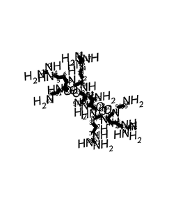 N=C(N)NCCCC(NC(=O)[C@H](CCCNC(=N)N)NC(=O)c1nc(N)c(C(=O)N[C@@H](CCCNC(=N)N)C(=O)NC(CCCNC(=N)N)C(=O)NCCN)nc1N)C(=O)NCCN